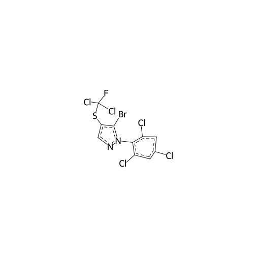 FC(Cl)(Cl)Sc1cnn(-c2c(Cl)cc(Cl)cc2Cl)c1Br